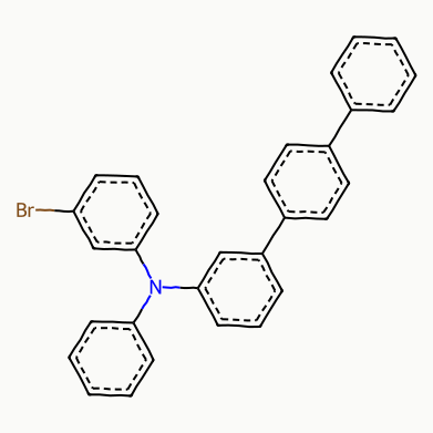 Brc1cccc(N(c2ccccc2)c2cccc(-c3ccc(-c4ccccc4)cc3)c2)c1